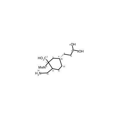 CNC1(C(=O)O)C[C@H](CCB(O)O)CCC1CN